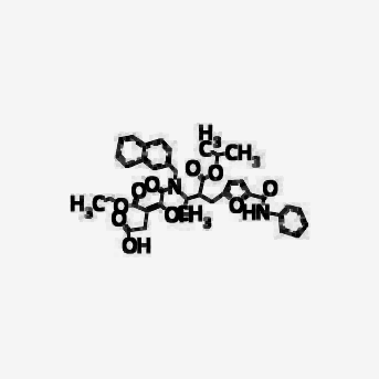 CCOC(=O)C(CC(=O)O)=C(O)C(=O)N(Cc1ccc2ccccc2c1)C(C)C(Cc1ccc(C(=O)Nc2ccccc2)o1)C(=O)OC(C)C